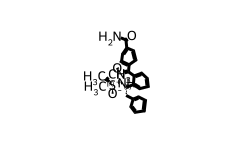 CC(C)(C)[S@+]([O-])N[C@@H](Cc1ccccc1)c1ccccc1-c1noc2cc(C(N)=O)ccc12